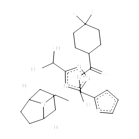 Cc1nnc(C(C)C)n1[C@@H]1C[C@H]2CC[C@@H](C1)N2CC[C@H](NC(=O)C1CCC(F)(F)CC1)c1cccs1